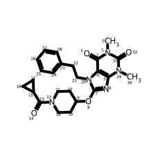 Cn1c(=O)c2c(nc(OC3CCN(C(=O)C4CC4)CC3)n2CCc2ccccc2)n(C)c1=O